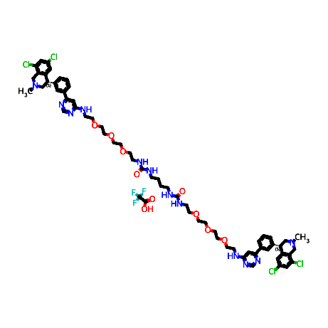 CN1Cc2c(Cl)cc(Cl)cc2[C@H](c2cccc(-c3cc(NCCOCCOCCOCCNC(=O)NCCCCNC(=O)NCCOCCOCCOCCNc4cc(-c5cccc([C@@H]6CN(C)Cc7c(Cl)cc(Cl)cc76)c5)ncn4)ncn3)c2)C1.O=C(O)C(F)(F)F